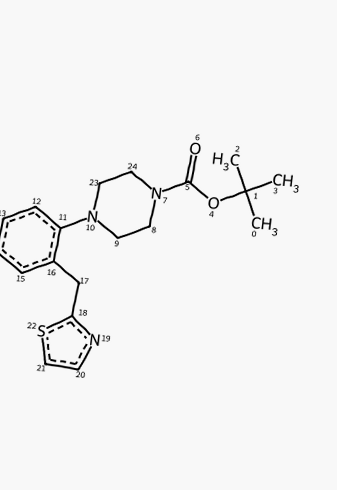 CC(C)(C)OC(=O)N1CCN(c2ccccc2Cc2nccs2)CC1